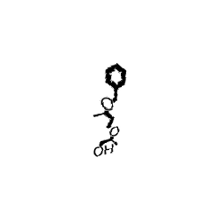 C[C@H](CCO[C@@H](C)CO)OCc1ccccc1